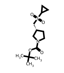 CC(C)(C)OC(=O)N1CC[C@@H](CS(=O)(=O)C2CC2)C1